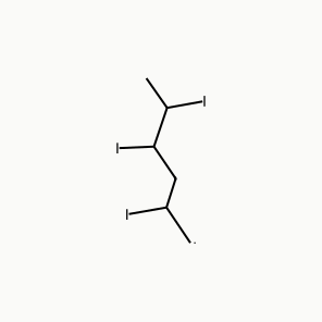 [CH2]C(I)CC(I)C(C)I